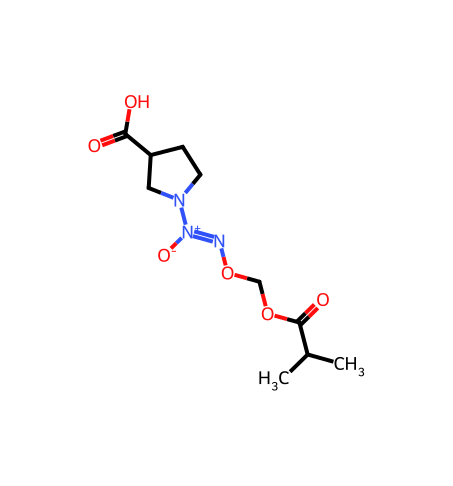 CC(C)C(=O)OCO/N=[N+](\[O-])N1CCC(C(=O)O)C1